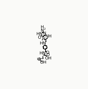 CN1c2c(nc(N)[nH]c2=O)NCC1CNc1ccc(C(=O)N[C@@H](CC[13C](=O)O)C(=O)O)cc1